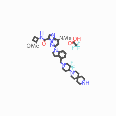 CNc1cc(N2CCc3c(CN4CCC(N5CCC6(CCNCC6)CC5)C(F)(F)C4)cccc32)nn2c(C(=O)N[C@@H]3CC[C@H]3OC)cnc12.O=C(O)C(F)(F)F